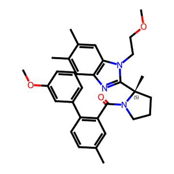 COCCn1c([C@]2(C)CCCN2C(=O)c2cc(C)ccc2-c2cccc(OC)c2)nc2cc(C)c(C)cc21